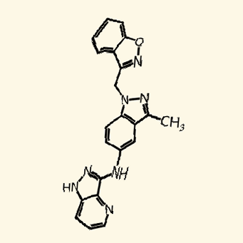 Cc1nn(Cc2noc3ccccc23)c2ccc(Nc3n[nH]c4cccnc34)cc12